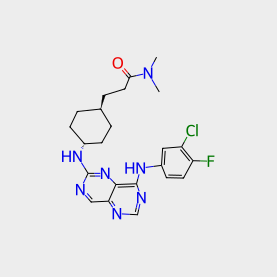 CN(C)C(=O)CC[C@H]1CC[C@H](Nc2ncc3ncnc(Nc4ccc(F)c(Cl)c4)c3n2)CC1